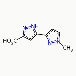 Cn1ccc(-c2cc(C(=O)O)n[nH]2)n1